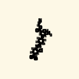 CCN(CC(C)C(=O)OCC#N)c1ccc(N=Nc2ccc([N+](=O)[O-])cc2Cl)cc1